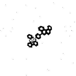 c1ccc(N(c2ccc(-c3cc4ccc5ccccc5c4c4ccccc34)cc2)c2cccc3c2oc2ccccc23)cc1